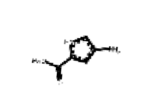 COC(=O)c1cc(N)c[nH]1